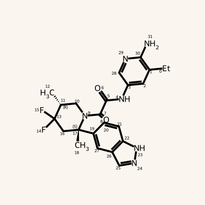 CCc1cc(NC(=O)C(=O)N2C[C@@H](C)C(F)(F)C[C@@]2(C)c2ccc3[nH]ncc3c2)cnc1N